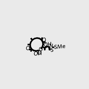 CSc1nc(C=C(C)C2OC(=O)C(O)CC(C)(C)C(=O)C(C)CC(C)CCCC3(C)OC3(I)C2O)cs1